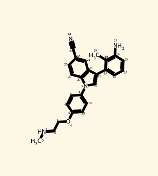 CNCCOc1ccc(-n2cc(-c3cccc(N)c3C)c3cc(C#N)ccc32)cc1